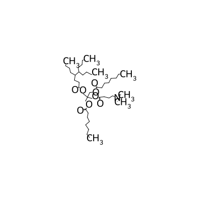 CCCCCCCC(=O)OCC(COC(=O)CCCCCCC)(COC(=O)CCCN(C)C)COC(=O)CCC(CCCC)C(CCCC)CCCC